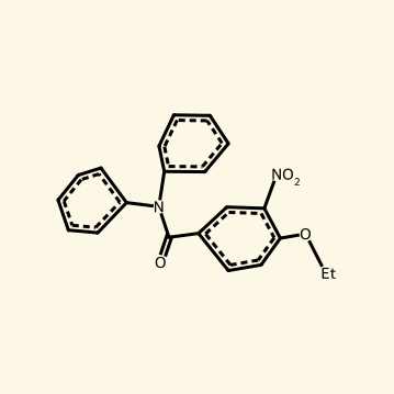 CCOc1ccc(C(=O)N(c2ccccc2)c2ccccc2)cc1[N+](=O)[O-]